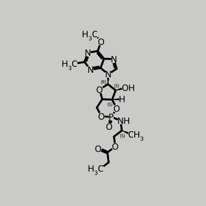 CCC(=O)OC[C@H](C)NP1(=O)OCC2O[C@@H](n3cnc4c(OC)nc(C)nc43)[C@@H](O)[C@@H]2O1